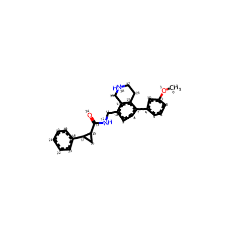 COc1cccc(-c2ccc(CNC(=O)C3CC3c3ccccc3)c3c2CCNC3)c1